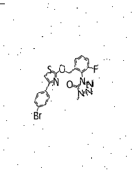 Cn1nnn(-c2c(F)cccc2COc2nc(-c3ccc(Br)cc3)cs2)c1=O